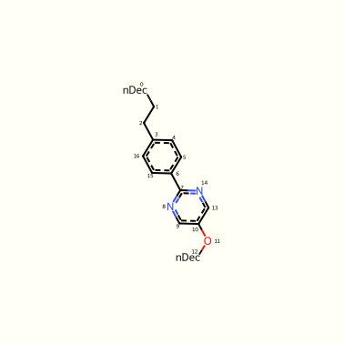 CCCCCCCCCCCCc1ccc(-c2ncc(OCCCCCCCCCC)cn2)cc1